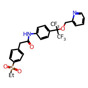 CCS(=O)(=O)c1ccc(CC(=O)Nc2ccc(C(OCc3ccccn3)(C(F)(F)F)C(F)(F)F)cc2)cc1